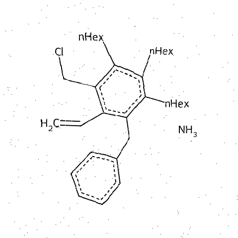 C=Cc1c(CCl)c(CCCCCC)c(CCCCCC)c(CCCCCC)c1Cc1ccccc1.N